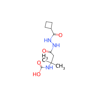 CC(C)(CC(=O)NNC(=O)C1CCC1)NC(=O)O